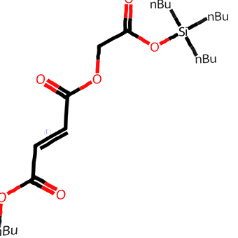 CCCCOC(=O)/C=C/C(=O)OCC(=O)O[Si](CCCC)(CCCC)CCCC